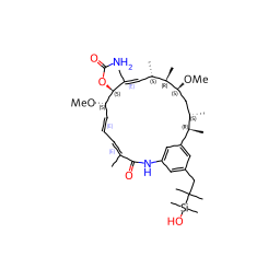 CO[C@H]1/C=C/C=C(\C)C(=O)Nc2cc(CC(C)(C)[Si](C)(C)O)cc(c2)[C@H](C)[C@@H](C)C[C@H](OC)[C@H](C)[C@@H](C)/C=C(\C)[C@@H]1OC(N)=O